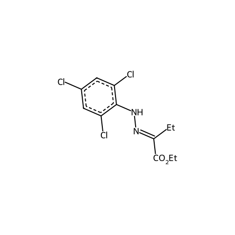 CCOC(=O)C(CC)=NNc1c(Cl)cc(Cl)cc1Cl